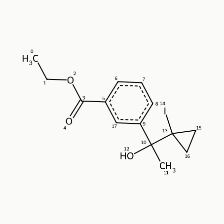 CCOC(=O)c1cccc(C(C)(O)C2(I)CC2)c1